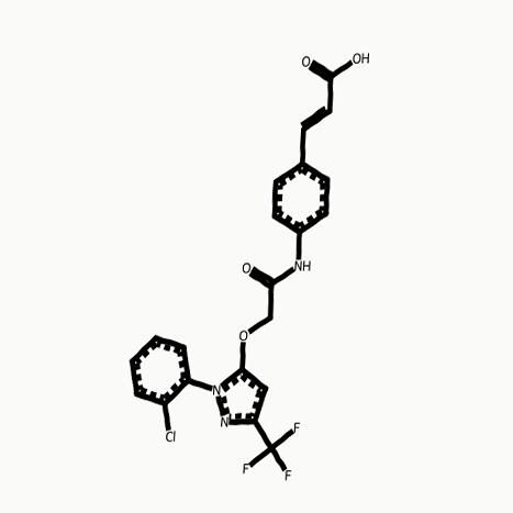 O=C(O)/C=C/c1ccc(NC(=O)COc2cc(C(F)(F)F)nn2-c2ccccc2Cl)cc1